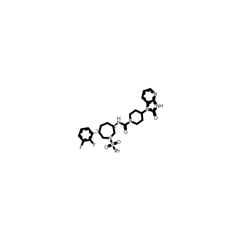 CC(C)S(=O)(=O)N1C[C@H](NC(=O)N2CCC(n3c(=O)[nH]c4ncccc43)CC2)CC[C@@H](c2cccc(F)c2F)C1